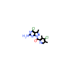 Cc1cnc(C(=O)n2nc(C)c3c(Cl)nc(N)nc32)c(C)c1Cl